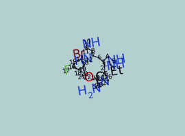 CCN/C1=C(\C=N)C/C(=C/C(=N)Br)Nc2ccc(F)cc2[C@@H](C)Oc2cc1cnc2N